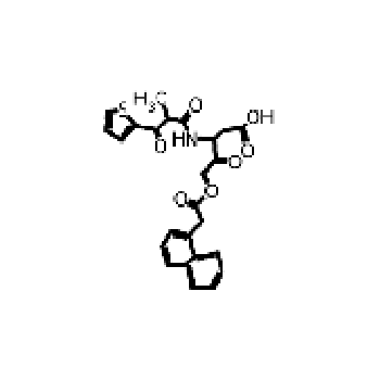 CC(C(=O)NC(CC(=O)O)C(=O)COC(=O)Cc1cccc2ccccc12)C(=O)c1cccs1